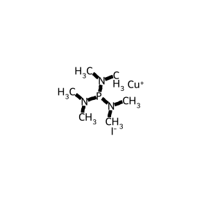 CN(C)P(N(C)C)N(C)C.[Cu+].[I-]